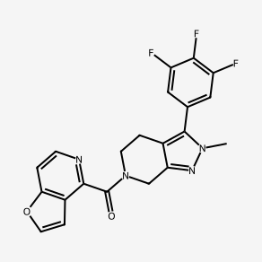 Cn1nc2c(c1-c1cc(F)c(F)c(F)c1)CCN(C(=O)c1nccc3occc13)C2